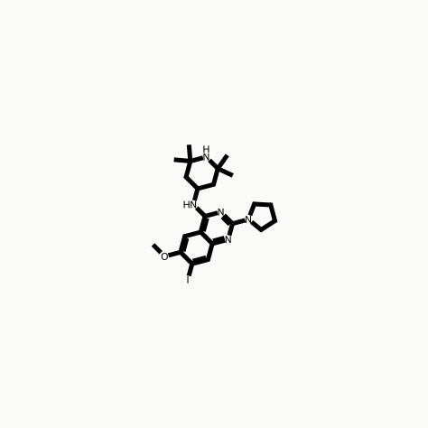 COc1cc2c(NC3CC(C)(C)NC(C)(C)C3)nc(N3CCCC3)nc2cc1I